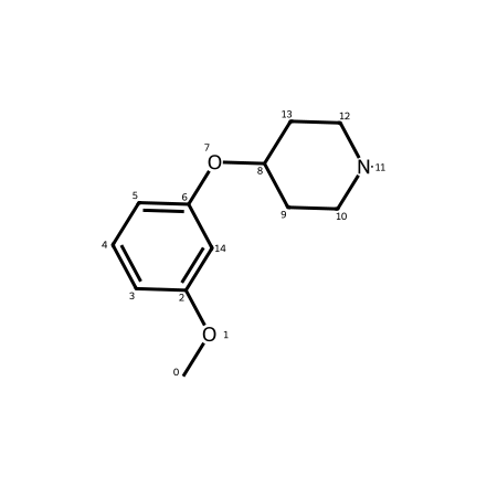 COc1cccc(OC2CC[N]CC2)c1